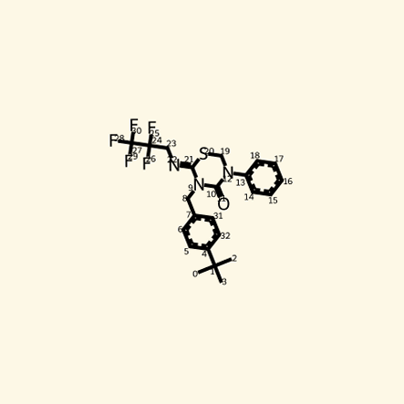 CC(C)(C)c1ccc(CN2C(=O)N(c3ccccc3)CSC2=NCC(F)(F)C(F)(F)F)cc1